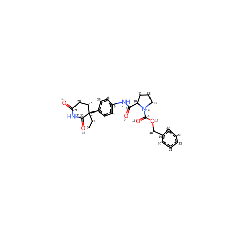 CCC1(c2ccc(NC(=O)C3CCCN3C(=O)OCc3ccccc3)cc2)CCC(=O)NC1=O